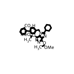 COC(C)Oc1nnc(OC(C)OC)c2c1nc(C1CCCCC1)n2Cc1ccc(-c2ccccc2C(=O)O)cc1